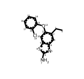 CCc1cc2nc(N)sc2cc1Oc1ccccc1Cl